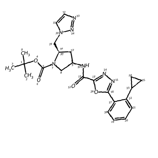 CC(C)(C)OC(=O)N1CC(NC(=O)c2nnc(-c3ccccc3C3CC3)o2)C[C@@H]1Cn1ccnn1